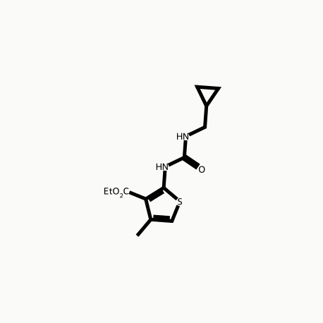 CCOC(=O)c1c(C)csc1NC(=O)NCC1CC1